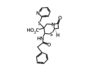 O=C(Cc1ccccc1)NC1S[C@@H]2CC(=O)N2CC1(Sc1ccccn1)C(=O)O